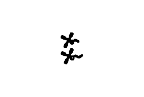 C#C[Si](C#C)(C#C)OCC.C#C[Si](C#C)(C#C)OCCC